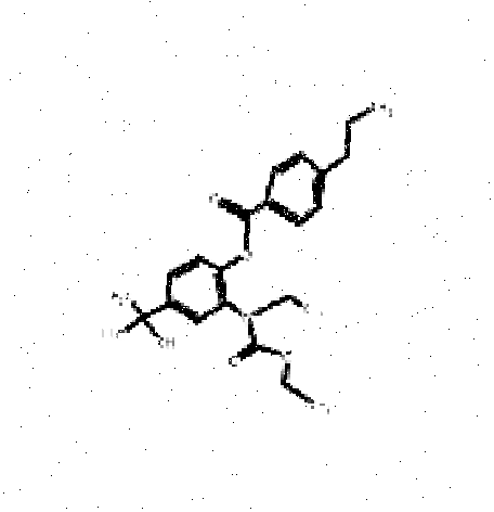 CCCc1ccc(C(=O)Oc2ccc(C(C)(C)C)cc2N(CC)C(=O)OCC)cc1